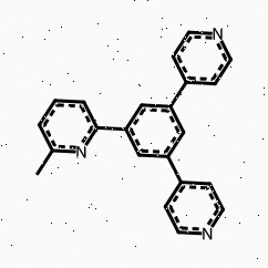 Cc1cccc(-c2cc(-c3ccncc3)cc(-c3ccncc3)c2)n1